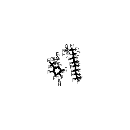 NS(=O)(=O)C(F)(F)C(F)(F)C(F)(F)C(F)(F)C(F)(F)C(F)(F)C(F)(F)C(F)(F)F.O=S(=O)(OF)C(F)(F)c1c(F)c(F)c(F)c(F)c1F.[KH]